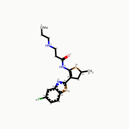 COCCNCCC(=O)NC1=C(c2nc3cc(F)ccc3s2)CC(C)S1